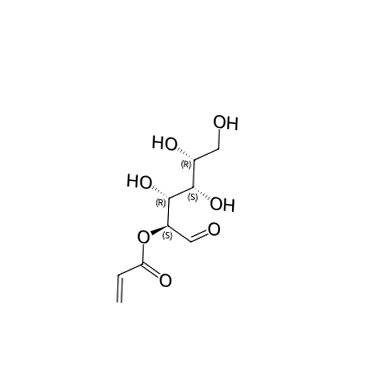 C=CC(=O)O[C@H](C=O)[C@H](O)[C@@H](O)[C@H](O)CO